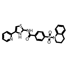 O=C(NC1NC(c2ccccn2)=CS1)c1ccc(S(=O)(=O)N2CCCc3ccccc32)cc1